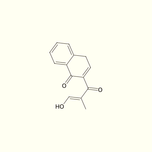 CC(=CO)C(=O)C1=CCc2ccccc2C1=O